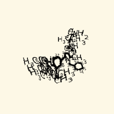 CCN(C(C)(C)C)S(=O)(=O)c1ccc(-c2cc(S(=O)(=O)NCC(C)(C)C(N)=O)c(C)n2CC2CCCCC2)cc1C(C)(C)C